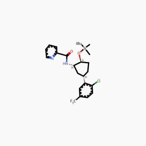 CC(C)(C)[Si](C)(C)O[C@H]1CC[C@H](c2cc(C(F)(F)F)ccc2Cl)C[C@@H]1NC(=O)c1ccccn1